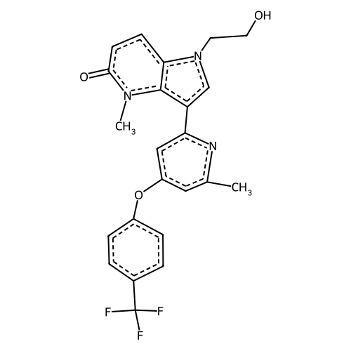 Cc1cc(Oc2ccc(C(F)(F)F)cc2)cc(-c2cn(CCO)c3ccc(=O)n(C)c23)n1